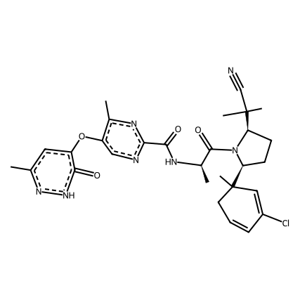 Cc1cc(Oc2cnc(C(=O)N[C@H](C)C(=O)N3[C@H](C4(C)C=C(Cl)C=CC4)CC[C@@H]3C(C)(C)C#N)nc2C)c(=O)[nH]n1